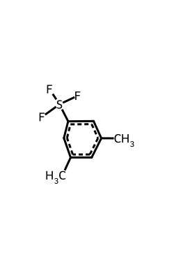 Cc1cc(C)cc(S(F)(F)F)c1